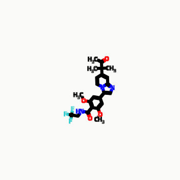 COc1cc(-c2cnc3cc(C(C)(C)C(C)=O)ccn23)cc(OC)c1C(=O)NCC(F)(F)F